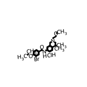 COCCN1Cc2cc(NC(=O)c3ccc(OC(C)C)c(Br)c3)ccc2C(C)(C)C1.Cl